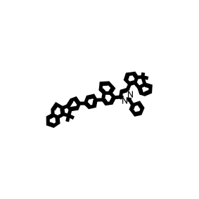 CC1(C)c2ccccc2-c2c(-c3cc(-c4ccc(-c5ccc(-c6ccc7c(c6)C(C)(C)c6c-7ccc7ccccc67)cc5)c5ccccc45)nc(-c4ccccc4)n3)cccc21